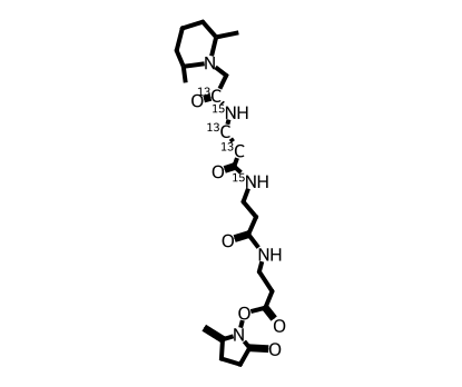 C=C1CCC(=O)N1OC(=O)CCNC(=O)CC[15NH]C(=O)[13CH2][13CH2][15NH][13C](=O)CN1C(C)CCCC1C